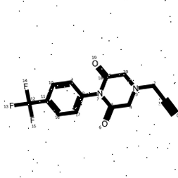 C#CCN1CC(=O)N(c2ccc(C(F)(F)F)cc2)C(=O)C1